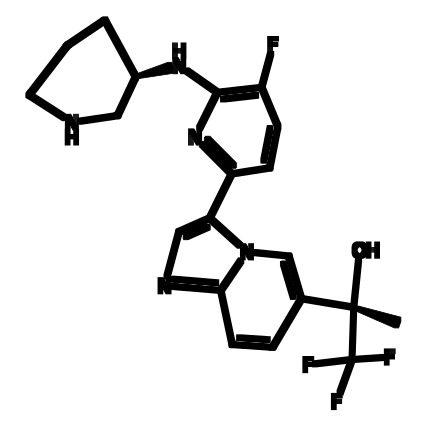 C[C@](O)(c1ccc2ncc(-c3ccc(F)c(N[C@@H]4CCCNC4)n3)n2c1)C(F)(F)F